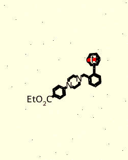 CCOC(=O)c1ccc(N2CCN(Cc3ccccc3N3CC4CCC(CC4)C3)CC2)cc1